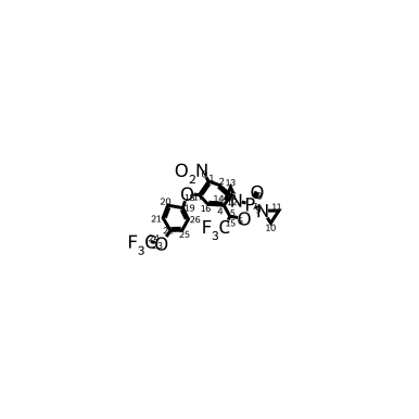 O=[N+]([O-])c1ccc(C(OP(=O)(N2CC2)N2CC2)C(F)(F)F)cc1Oc1ccc(OC(F)(F)F)cc1